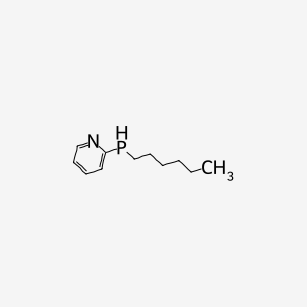 CCCCCCPc1ccccn1